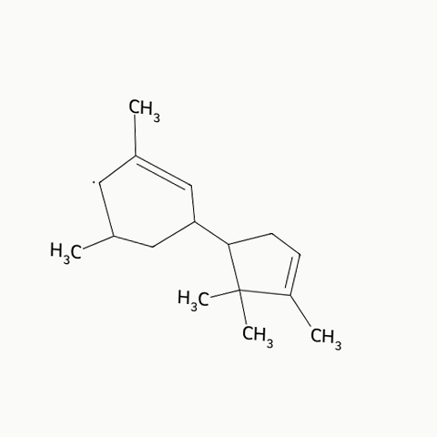 CC1=CC(C2CC=C(C)C2(C)C)CC(C)[CH]1